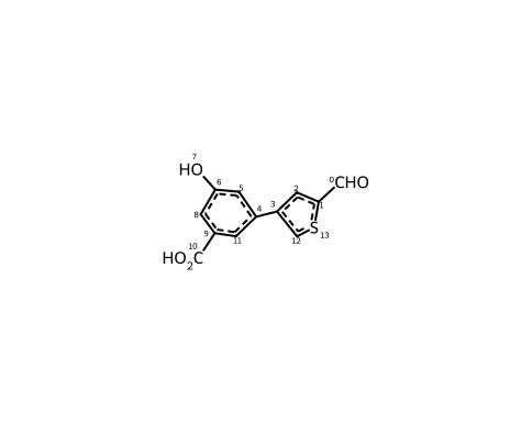 O=Cc1cc(-c2cc(O)cc(C(=O)O)c2)cs1